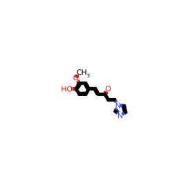 COc1cc(/C=C/C(=O)CCn2ccnc2)ccc1O